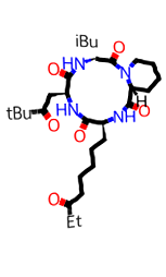 CCC(=O)CCCCC[C@@H]1NC(=O)[C@H]2CCCCN2C(=O)[C@H]([C@H](C)CC)NC(=O)[C@H](CC(=O)C(C)(C)C)NC1=O